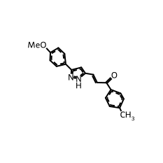 COc1ccc(-c2cc(C=CC(=O)c3ccc(C)cc3)[nH]n2)cc1